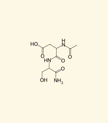 CC(=O)NC(CC(=O)O)C(=O)NC(CO)C(N)=O